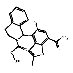 Cc1cc2c(C3c4ccccc4CCN3C(=O)OC(C)(C)C)c(F)cc(C(N)=O)c2[nH]1